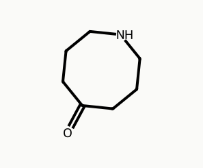 O=C1CCCNCCC1